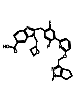 Cn1nc(COc2cccc(-c3cc(F)c(Cc4nc5ccc(C(=O)O)cc5n4C[C@@H]4CCO4)cc3F)n2)c2c1CCC2